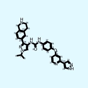 CC(C)n1cc(NC(=O)Nc2ccc(Oc3ccnc(-c4cn[nH]c4)c3)cc2)c(-c2ccc3c(c2)CCNC3)n1